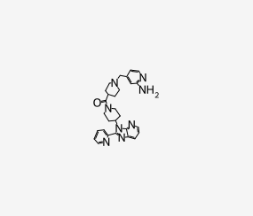 Nc1cc(CN2CCC(C(=O)N3CCC(n4c(-c5ccccn5)nc5cccnc54)CC3)CC2)ccn1